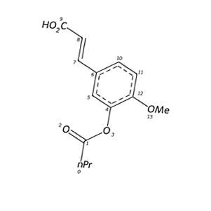 CCCC(=O)Oc1cc(C=CC(=O)O)ccc1OC